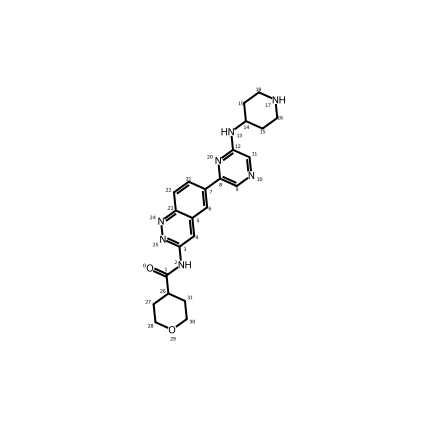 O=C(Nc1cc2cc(-c3cncc(NC4CCNCC4)n3)ccc2nn1)C1CCOCC1